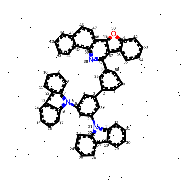 c1cc(-c2cc(-n3c4ccccc4c4ccccc43)cc(-n3c4ccccc4c4ccccc43)c2)cc(-c2nc3c4ccccc4ccc3c3oc4ccccc4c23)c1